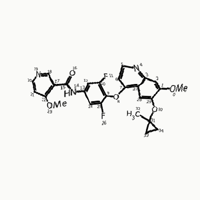 COc1cc2nccc(Oc3c(F)cc(NC(=O)c4cnccc4OC)cc3F)c2cc1OC1(C)CC1